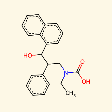 CCN(CC(c1ccccc1)C(O)c1cccc2ccccc12)C(=O)O